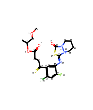 COCC(C)OC(=O)CCC(=S)c1cc(N=c2sc(=O)n3n2CCCC3)c(F)cc1Cl